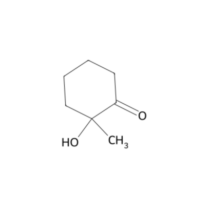 CC1(O)CCCCC1=O